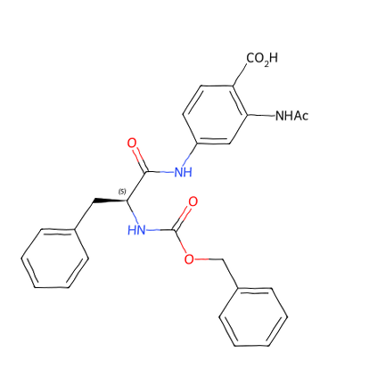 CC(=O)Nc1cc(NC(=O)[C@H](Cc2ccccc2)NC(=O)OCc2ccccc2)ccc1C(=O)O